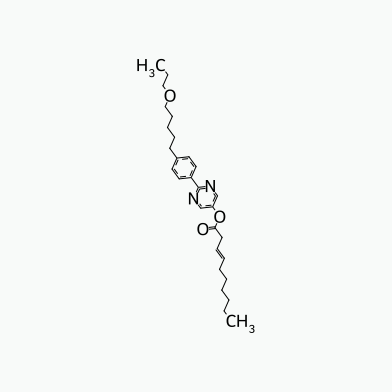 CCCCCCC=CCC(=O)Oc1cnc(-c2ccc(CCCCCOCCC)cc2)nc1